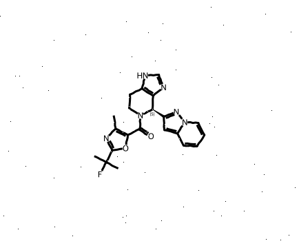 Cc1nc(C(C)(C)F)oc1C(=O)N1CCc2[nH]cnc2[C@H]1c1cc2ccccn2n1